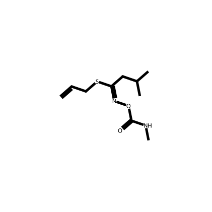 C=CCSC(CC(C)C)=NOC(=O)NC